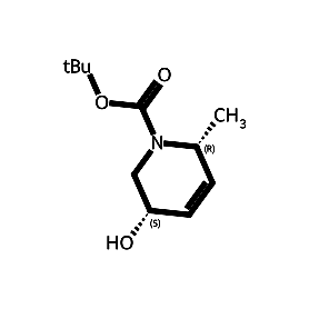 C[C@@H]1C=C[C@H](O)CN1C(=O)OC(C)(C)C